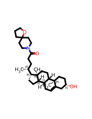 C[C@H](CCC(=O)N1CCC2(CCCO2)CC1)[C@H]1CC[C@H]2[C@@H]3CC=C4C[C@@H](O)CC[C@]4(C)[C@H]3CC[C@]12C